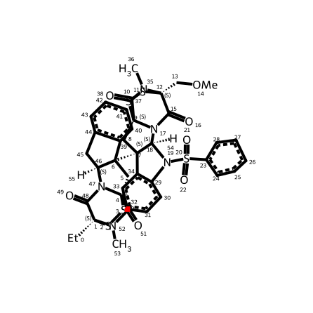 CC[C@]12SS[C@@]3(CC4([C@]56C[C@@]78SS[C@@](COC)(C(=O)N7[C@H]5N(S(=O)(=O)c5ccccc5)c5ccccc56)N(C)C8=O)c5ccccc5C[C@@H]4N3C1=O)C(=O)N2C